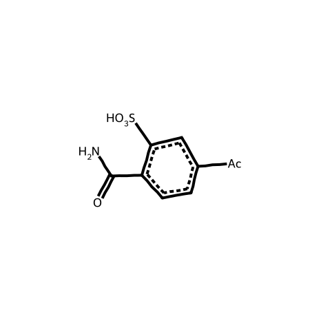 CC(=O)c1ccc(C(N)=O)c(S(=O)(=O)O)c1